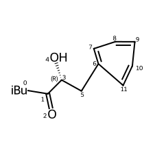 CCC(C)C(=O)[C@H](O)Cc1ccccc1